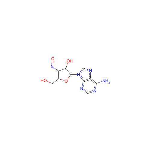 Nc1ncnc2c1ncn2C1OC(CO)C(N=O)C1O